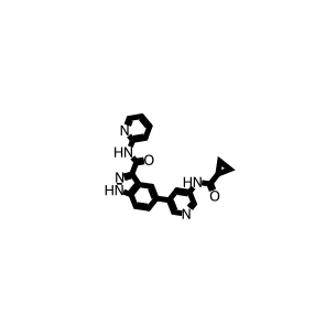 O=C(Nc1ccccn1)c1n[nH]c2ccc(-c3cncc(NC(=O)C4CC4)c3)cc12